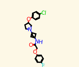 O=C(COc1ccc(F)cc1)NC12CC(N3CCC(Oc4ccc(Cl)cc4)C3)(C1)C2